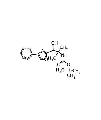 CC(C)(C)OC(=O)NC(C)(C)C(O)c1nc(-c2cccnc2)co1